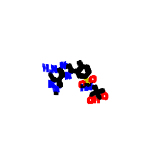 Cc1ccc(S(=O)(=O)NCC2(CO)COC2)cc1-c1cnc(N)c(-c2cn(C)nc2C)n1